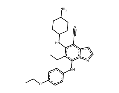 CCOc1ccc(Nc2c(CC)c(NC3CCC(N)CC3)c(C#N)c3ccnn23)cc1